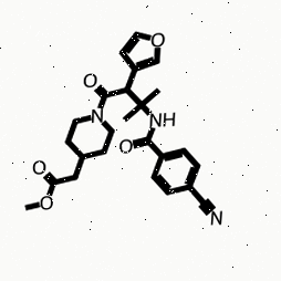 COC(=O)CC1CCN(C(=O)C(c2ccoc2)C(C)(C)NC(=O)c2ccc(C#N)cc2)CC1